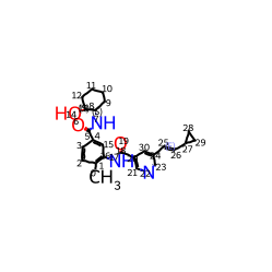 Cc1ccc(C(=O)N[C@H]2CCCC[C@@H]2O)cc1NC(=O)c1cncc(/C=C/C2CC2)c1